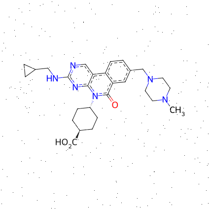 CN1CCN(Cc2ccc3c(c2)c(=O)n([C@H]2CC[C@H](C(=O)O)CC2)c2nc(NCC4CC4)ncc32)CC1